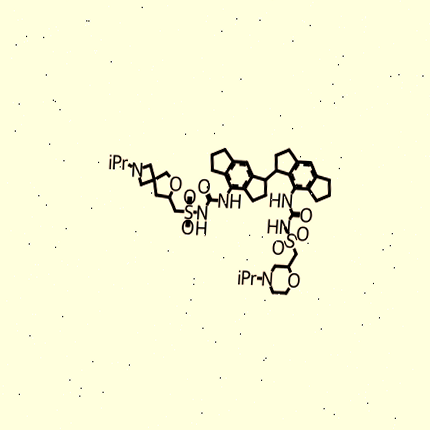 CC(C)N1CCOC(CS(=O)(=O)NC(=O)Nc2c3c(cc4c2C(C2CCc5c2cc2c(c5NC(=O)NS(=O)(=O)CC5CC6(CO5)CN(C(C)C)C6)CCC2)CC4)CCC3)C1